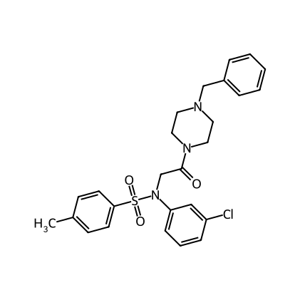 Cc1ccc(S(=O)(=O)N(CC(=O)N2CCN(Cc3ccccc3)CC2)c2cccc(Cl)c2)cc1